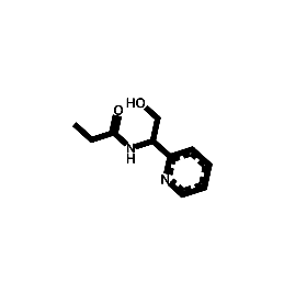 CCC(=O)NC(CO)c1ccccn1